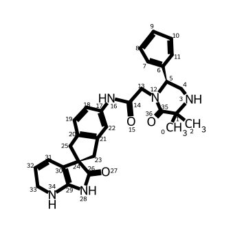 CC1(C)NC[C@H](c2ccccc2)N(CC(=O)Nc2ccc3c(c2)C[C@@]2(C3)C(=O)NC3=C2C=CCN3)C1=O